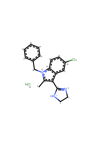 Cc1c(C2=NCCN2)c2cc(Cl)ccc2n1Cc1ccccc1.Cl